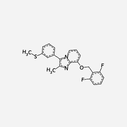 CSc1cccc(-c2c(C)nc3c(OCc4c(F)cccc4F)cccn23)c1